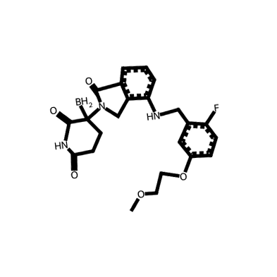 BC1(N2Cc3c(NCc4cc(OCCOC)ccc4F)cccc3C2=O)CCC(=O)NC1=O